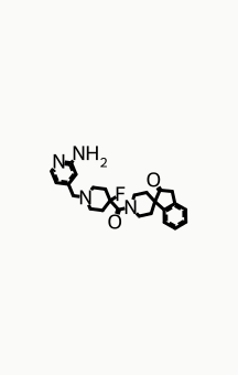 Nc1cc(CN2CCC(F)(C(=O)N3CCC4(CC3)C(=O)Cc3ccccc34)CC2)ccn1